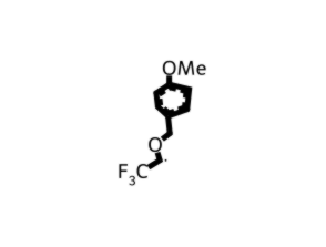 COc1ccc(CO[CH]C(F)(F)F)cc1